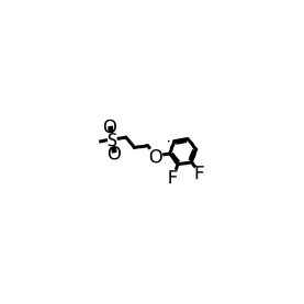 CS(=O)(=O)CCCOc1[c]ccc(F)c1F